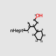 CCCCCCCCC(C)C(CCO)C1CCCCC1